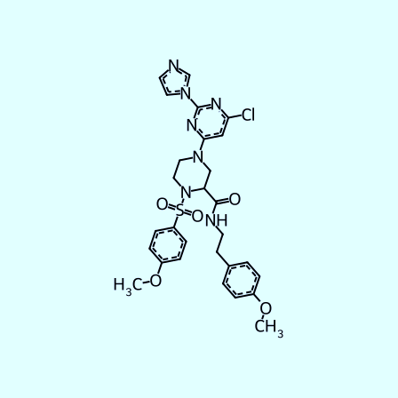 COc1ccc(CCNC(=O)C2CN(c3cc(Cl)nc(-n4ccnc4)n3)CCN2S(=O)(=O)c2ccc(OC)cc2)cc1